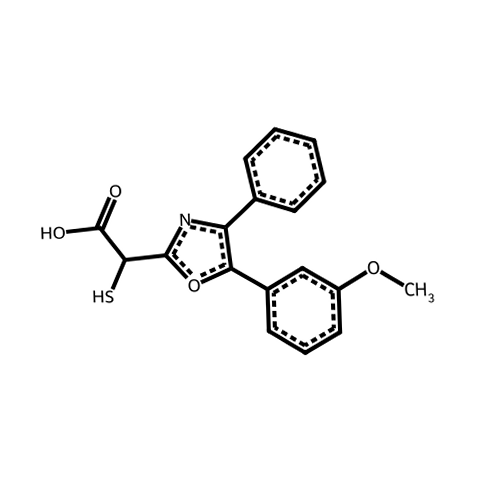 COc1cccc(-c2oc(C(S)C(=O)O)nc2-c2ccccc2)c1